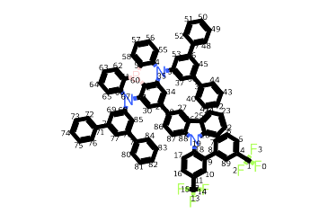 FC(F)(F)c1cccc(-c2cc(C(F)(F)F)ccc2-n2c3ccccc3c3cc(-c4cc5c6c(c4)N(c4cc(-c7ccccc7)cc(-c7ccccc7)c4)c4ccccc4B6c4ccccc4N5c4cc(-c5ccccc5)cc(-c5ccccc5)c4)ccc32)c1